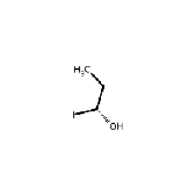 CC[C@H](O)I